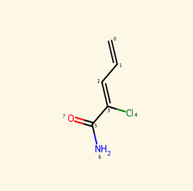 C=CC=C(Cl)C(N)=O